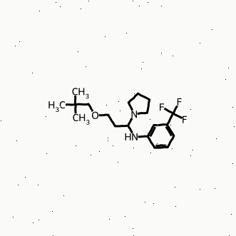 CC(C)(C)COCCC(Nc1cccc(C(F)(F)F)c1)N1CCCC1